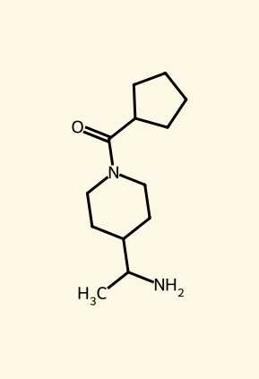 CC(N)C1CCN(C(=O)C2CCCC2)CC1